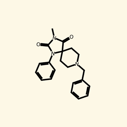 CN1C(=O)N(c2ccccc2)C2(CCN(Cc3ccccc3)CC2)C1=O